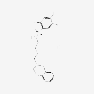 Cl.O=S(=O)(NCCCCN1CCc2ccccc2C1)c1cc(Cl)c(F)cc1F